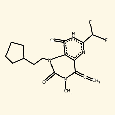 C=C=C1c2nc(C(F)F)[nH]c(=O)c2N(CCC2CCCC2)C(=O)N1C